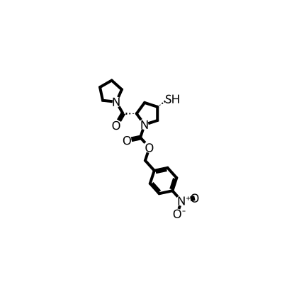 O=C([C@@H]1C[C@H](S)CN1C(=O)OCc1ccc([N+](=O)[O-])cc1)N1CCCC1